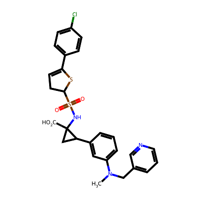 CN(Cc1cccnc1)c1cccc(C2CC2(NS(=O)(=O)C2CC=C(c3ccc(Cl)cc3)S2)C(=O)O)c1